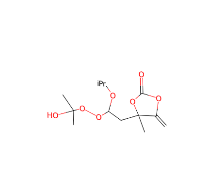 C=C1OC(=O)OC1(C)CC(OOC(C)(C)O)OC(C)C